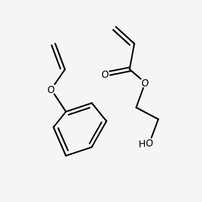 C=CC(=O)OCCO.C=COc1ccccc1